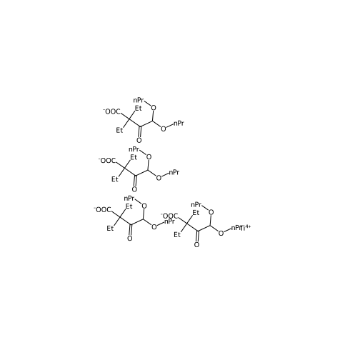 CCCOC(OCCC)C(=O)C(CC)(CC)C(=O)[O-].CCCOC(OCCC)C(=O)C(CC)(CC)C(=O)[O-].CCCOC(OCCC)C(=O)C(CC)(CC)C(=O)[O-].CCCOC(OCCC)C(=O)C(CC)(CC)C(=O)[O-].[Ti+4]